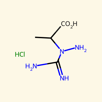 CC(C(=O)O)N(N)C(=N)N.Cl